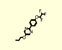 CCCOc1cnc(-c2ccc(OC(F)C(F)F)cc2)nc1